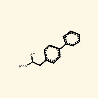 CN[C@H](Cc1ccc(-c2ccccc2)cc1)C(C)=O